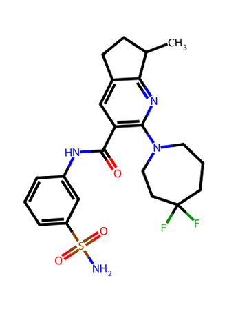 CC1CCc2cc(C(=O)Nc3cccc(S(N)(=O)=O)c3)c(N3CCCC(F)(F)CC3)nc21